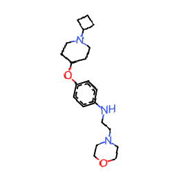 c1cc(OC2CCN(C3CCC3)CC2)ccc1NCCN1CCOCC1